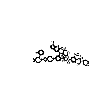 Cc1ccccc1[C@@H]1CC(C)(C)CCN1C1CC2(CCN(c3ccc(C(=O)NS(=O)(=O)c4cc5c(c([N+](=O)[O-])c4)N[C@H](C4(F)CCOCC4)CO5)c(N4c5cc6cc[nH]c6nc5O[C@H]5COCC[C@@H]54)c3)CC2)C1